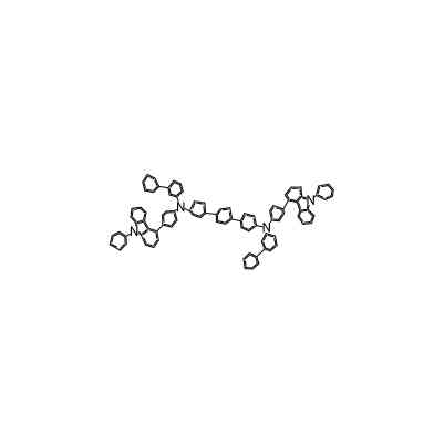 c1ccc(-c2cccc(N(c3ccc(-c4ccc(-c5ccc(N(c6ccc(-c7cccc8c7c7ccccc7n8-c7ccccc7)cc6)c6cccc(-c7ccccc7)c6)cc5)cc4)cc3)c3ccc(-c4cccc5c4c4ccccc4n5-c4ccccc4)cc3)c2)cc1